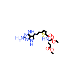 CCOC(=O)CC[C@@H](NC(=O)c1ccc(CCCC2CNc3nc(N)nc(N)c32)s1)C(=O)OCC